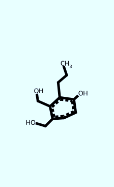 CCCc1c(O)ccc(CO)c1CO